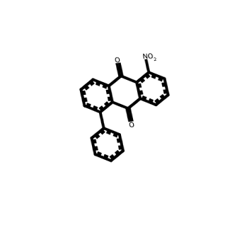 O=C1c2cccc([N+](=O)[O-])c2C(=O)c2cccc(-c3ccccc3)c21